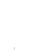 CC(C)(C)Oc1ccccc1[I+]c1ccccc1.O=S(=O)([O-])C(F)(F)F